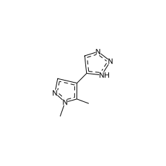 Cc1c(-c2cnn[nH]2)cnn1C